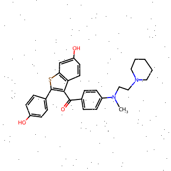 CN(CCN1CCCCC1)c1ccc(C(=O)c2c(-c3ccc(O)cc3)sc3cc(O)ccc23)cc1